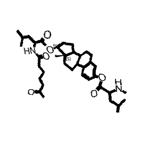 CNC(CC(C)C)C(=O)Oc1ccc2c(c1)CCC1C2CC[C@@]2(C)C1CC[C@@H]2OC(=O)C(CC(C)C)NC(=O)CCCCC(C)=O